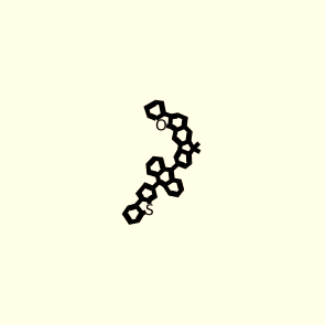 CC1(C)c2ccc(-c3c4ccccc4c(-c4ccc5c(c4)sc4ccccc45)c4ccccc34)cc2-c2cc3c(ccc4c5ccccc5oc34)cc21